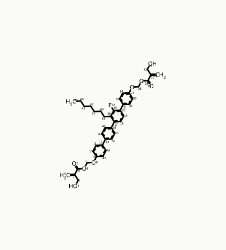 C=C(CO)C(=O)OCOc1ccc(-c2ccc(-c3ccc(-c4ccc(OCOC(=O)C(=C)CO)cc4)c(F)c3CCCCCCC)cc2)cc1